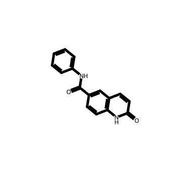 O=C(Nc1ccccc1)c1ccc2[nH]c(=O)ccc2c1